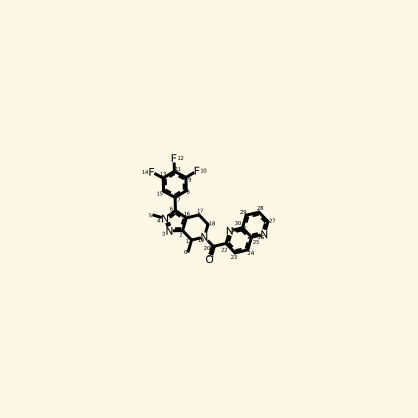 CC1c2nn(C)c(-c3cc(F)c(F)c(F)c3)c2CCN1C(=O)c1ccc2ncccc2n1